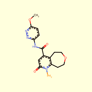 COc1ccc(NC(=O)c2cc(=O)n(P)c3c2CCOCC3)nn1